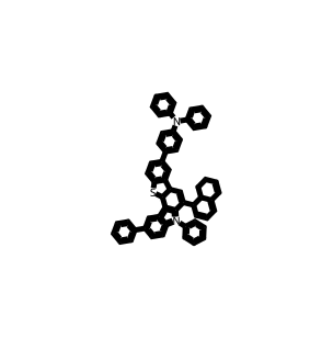 C1=CC(C2=CC3c4cc(-c5ccc(N(c6ccccc6)c6ccccc6)cc5)ccc4SC3c3c2n(-c2ccccc2)c2ccc(-c4ccccc4)cc32)C2CCC=CC2=C1